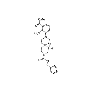 COC(=O)c1cccc(N2CCC3(CCN(C(=O)OCc4ccccc4)CC3(F)F)CC2)c1[N+](=O)[O-]